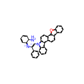 NC1C=CC=C/C1=N/C(=C/n1c2ccccc2c2c3ccc4c5ccccc5oc4c3ccc21)c1ccccc1